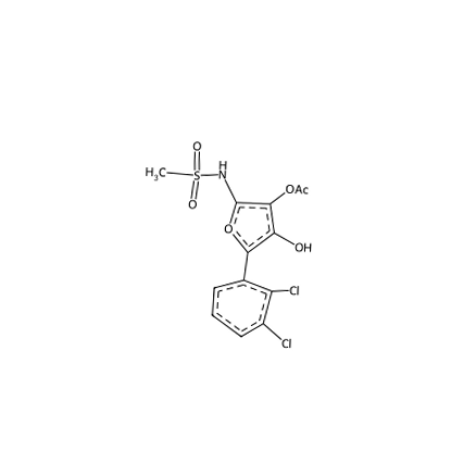 CC(=O)Oc1c(NS(C)(=O)=O)oc(-c2cccc(Cl)c2Cl)c1O